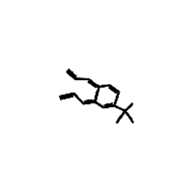 C=C/C=c1/ccc(C(C)(C)C)c/c1=C/C=C